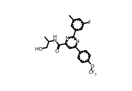 Cc1cc(F)cc(-c2nc(C(=O)NC(C)CO)cc(-c3ccc(OC(F)(F)F)cc3)n2)c1